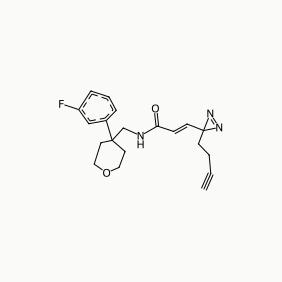 C#CCCC1(C=CC(=O)NCC2(c3cccc(F)c3)CCOCC2)N=N1